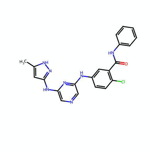 Cc1cc(Nc2cncc(Nc3ccc(Cl)c(C(=O)Nc4ccccc4)c3)n2)n[nH]1